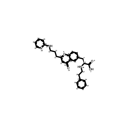 O=C(O)[C@H](Cc1ccc2oc(CCCNc3ccccn3)cc(=O)c2c1)NCCc1ccccc1